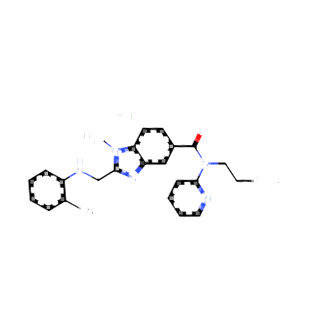 Cl.Cn1c(CNc2ccccc2C#N)nc2cc(C(=O)N(CCC(=O)O)c3ccccn3)ccc21